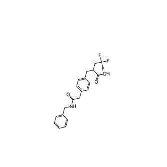 O=C(Cc1ccc(CC(CC(F)(F)F)C(=O)O)cc1)NCc1ccccc1